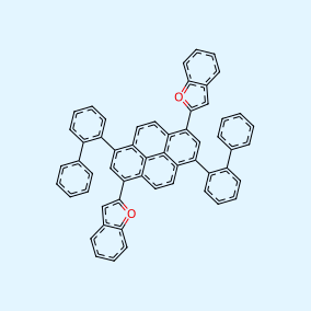 c1ccc(-c2ccccc2-c2cc(-c3cc4ccccc4o3)c3ccc4c(-c5ccccc5-c5ccccc5)cc(-c5cc6ccccc6o5)c5ccc2c3c54)cc1